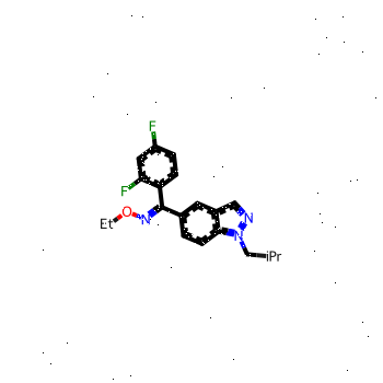 CCON=C(c1ccc2c(cnn2CC(C)C)c1)c1ccc(F)cc1F